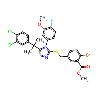 COC(=O)c1cc(CSc2ncc(C(C)(C)c3ccc(Cl)c(Cl)c3)n2-c2ccc(F)c(OC)c2)ccc1Br